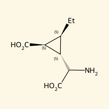 CC[C@@H]1[C@H](C(=O)O)[C@H]1C(N)C(=O)O